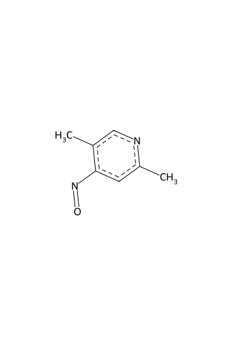 Cc1cc(N=O)c(C)cn1